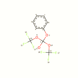 [O]C(Oc1ccccc1)(OC(F)(F)F)OC(F)(F)F